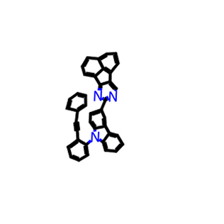 C(#Cc1ccccc1-n1c2ccccc2c2cc(-c3ncc4c(n3)-c3cccc5cccc-4c35)ccc21)c1ccccc1